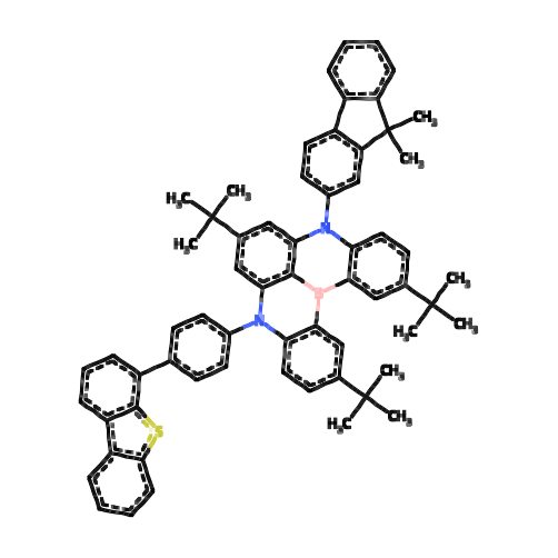 CC(C)(C)c1ccc2c(c1)B1c3cc(C(C)(C)C)ccc3N(c3ccc4c(c3)C(C)(C)c3ccccc3-4)c3cc(C(C)(C)C)cc(c31)N2c1ccc(-c2cccc3c2sc2ccccc23)cc1